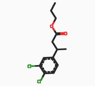 CCCOC(=O)CC(C)c1ccc(Cl)c(Cl)c1